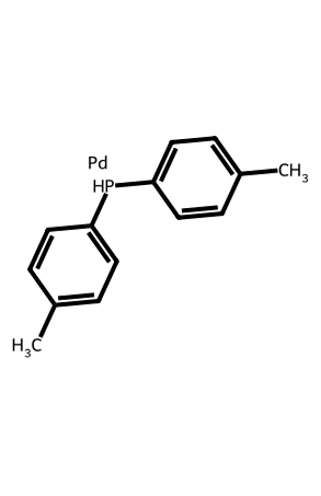 Cc1ccc(Pc2ccc(C)cc2)cc1.[Pd]